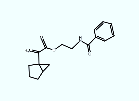 C=C(C(=O)OCCNC(=O)c1ccccc1)C12CCCC1C2